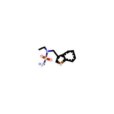 CCN(Cc1csc2ccccc12)S(N)(=O)=O